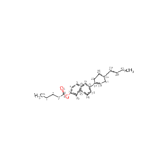 CCCCC(=O)Oc1ccc2cc(C3=CCC(CCCC)CC3)ccc2c1